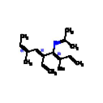 C=CC(=C\C(C)=C/C)/C(N=C(C)C)=C(/C=C)C(C)(C)C